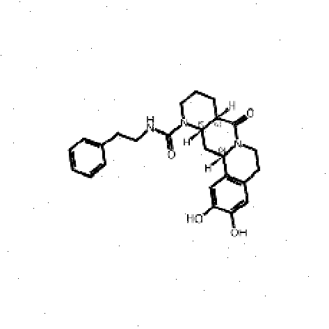 O=C1[C@H]2CCCN(C(=O)NCCc3ccccc3)[C@H]2C[C@H]2c3cc(O)c(O)cc3CCN12